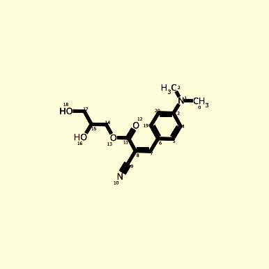 CN(C)c1ccc(/C=C(/C#N)C(=O)OCC(O)CO)cc1